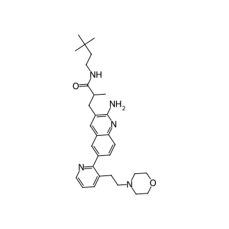 CC(Cc1cc2cc(-c3ncccc3CCN3CCOCC3)ccc2nc1N)C(=O)NCCC(C)(C)C